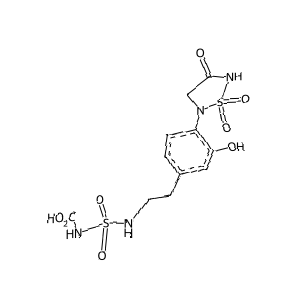 O=C(O)NS(=O)(=O)NCCc1ccc(N2CC(=O)NS2(=O)=O)c(O)c1